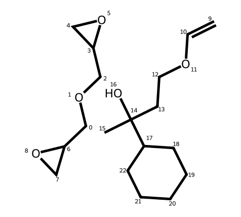 C(OCC1CO1)C1CO1.C=COCCC(C)(O)C1CCCCC1